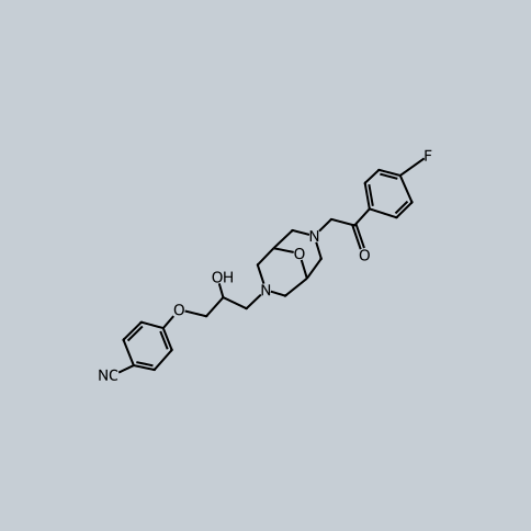 N#Cc1ccc(OCC(O)CN2CC3CN(CC(=O)c4ccc(F)cc4)CC(C2)O3)cc1